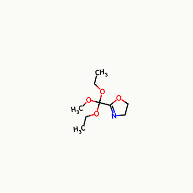 CCOC(OC)(OCC)C1=NCCO1